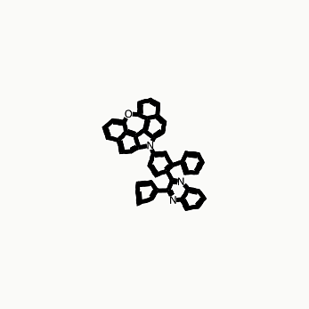 c1ccc(-c2cc(-n3c4ccc5cccc6oc7cccc8ccc3c(c87)c4c56)ccc2-c2nc3ccccc3nc2-c2ccccc2)cc1